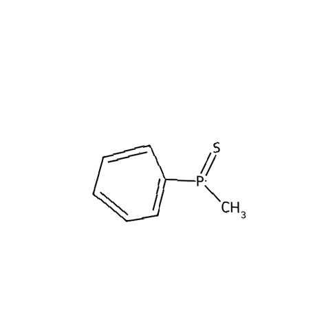 C[P](=S)c1ccccc1